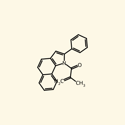 C=C(C)C(=O)n1c(-c2ccccc2)cc2ccc3ccccc3c21